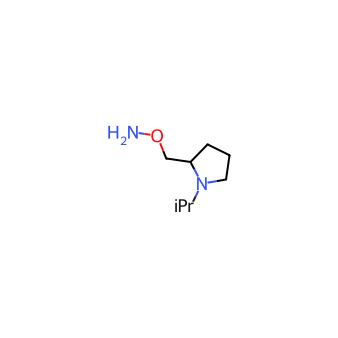 CC(C)N1CCCC1CON